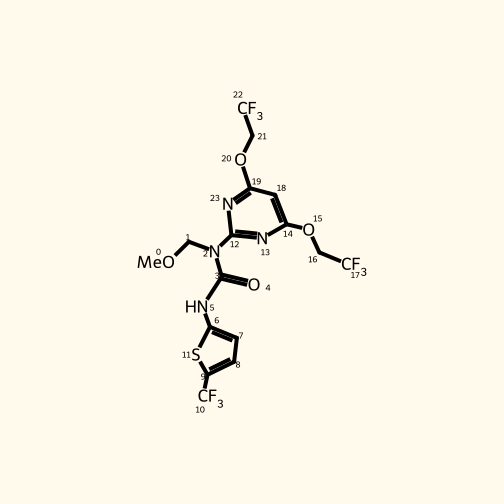 COCN(C(=O)Nc1ccc(C(F)(F)F)s1)c1nc(OCC(F)(F)F)cc(OCC(F)(F)F)n1